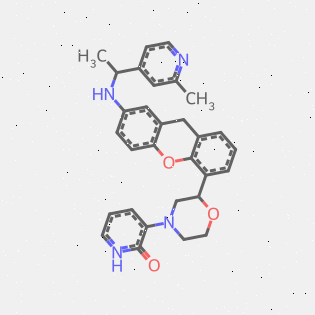 Cc1cc(C(C)Nc2ccc3c(c2)Cc2cccc(C4CN(c5ccc[nH]c5=O)CCO4)c2O3)ccn1